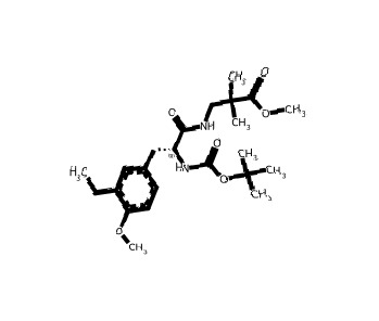 CCc1cc(C[C@@H](NC(=O)OC(C)(C)C)C(=O)NCC(C)(C)C(=O)OC)ccc1OC